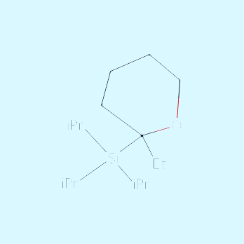 [CH2]CC1([Si](C(C)C)(C(C)C)C(C)C)CCCCO1